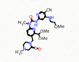 COCCNc1cc(NC(=O)N(C)c2ccc(CN3CCN(C)CC3=C=O)c(C(OC)OC)n2)ncc1C#N